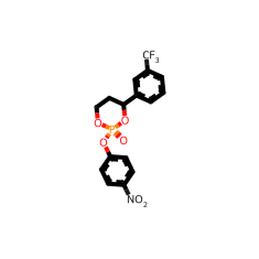 O=[N+]([O-])c1ccc(OP2(=O)OCCC(c3cccc(C(F)(F)F)c3)O2)cc1